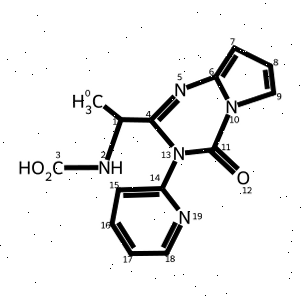 CC(NC(=O)O)c1nc2cccn2c(=O)n1-c1ccccn1